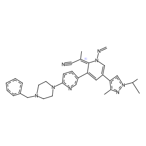 C=NN1C=C(c2cn(C(C)C)nc2C)C=C(c2ccc(N3CCN(Cc4ccccc4)CC3)nc2)/C1=C(/C)C#N